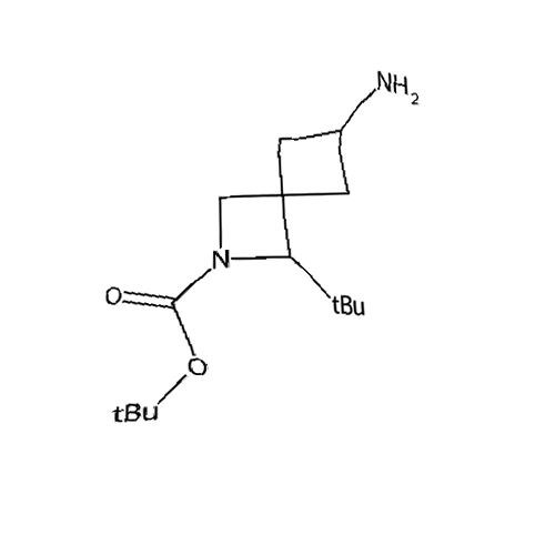 CC(C)(C)OC(=O)N1CC2(CC(N)C2)C1C(C)(C)C